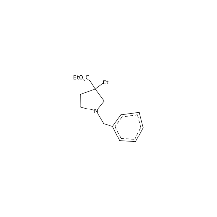 CCOC(=O)C1(CC)CCN(Cc2ccccc2)C1